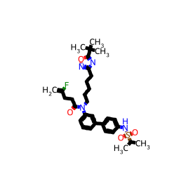 C=C(F)CCC(=O)N(CCCCCc1noc(C(C)(C)C)n1)c1cccc(-c2ccc(NS(=O)(=O)C(C)C)cc2)c1